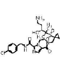 CC(C)([C@@H](O)CCN)S(=O)(=O)C1(CN2CCn3c(cnc3C(=O)NCc3ccc(Cl)cc3)C2=O)CC1